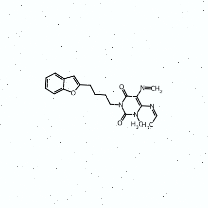 C=Nc1c(/N=C\C)n(C)c(=O)n(CCCCc2cc3ccccc3o2)c1=O